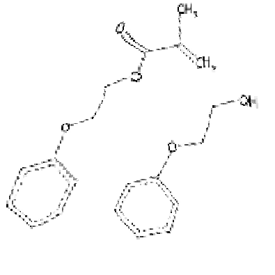 C=C(C)C(=O)OCCOc1ccccc1.OCCOc1ccccc1